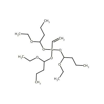 C=C[Si](OC(CCC)OCC)(OC(CCC)OCC)OC(CCC)OCC